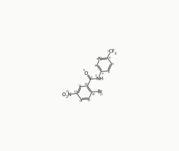 O=C(Nc1ccc(C(F)(F)F)nc1)c1cc([N+](=O)[O-])ccc1Br